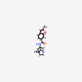 CC(=O)c1cc2ccc(C(=O)N[C@@H]3C[C@H]4CCN(C4)C3)cc2o1